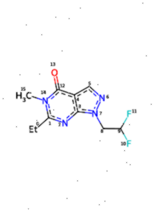 CCc1nc2c(cnn2CC(F)F)c(=O)n1C